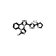 CC1(c2noc(-c3nnc4c5ccccc5n5c(Cl)ncc5n34)n2)CCCO1